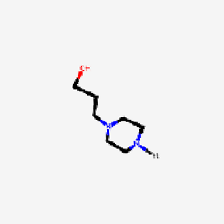 CCN1CCN(CCCO)CC1